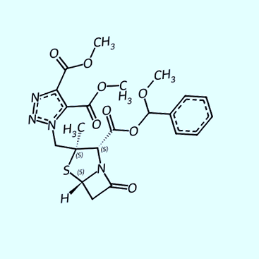 COC(=O)c1nnn(C[C@]2(C)S[C@H]3CC(=O)N3[C@H]2C(=O)OC(OC)c2ccccc2)c1C(=O)OC